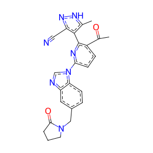 CC(=O)c1ccc(-n2cnc3cc(CN4CCCC4=O)ccc32)nc1-c1c(C#N)n[nH]c1C